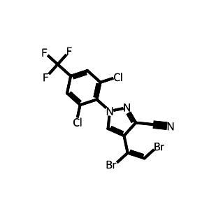 N#Cc1nn(-c2c(Cl)cc(C(F)(F)F)cc2Cl)cc1/C(Br)=C\Br